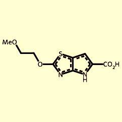 COCCOc1nc2[nH]c(C(=O)O)cc2s1